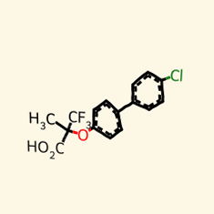 CC(Oc1ccc(-c2ccc(Cl)cc2)cc1)(C(=O)O)C(F)(F)F